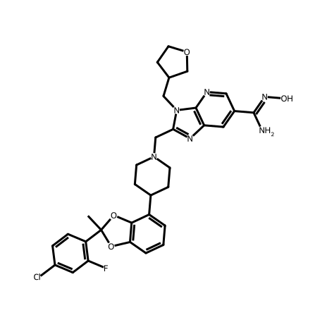 CC1(c2ccc(Cl)cc2F)Oc2cccc(C3CCN(Cc4nc5cc(C(N)=NO)cnc5n4CC4CCOC4)CC3)c2O1